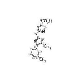 Cc1sc(Cn2cc(C(=O)O)cn2)nc1-c1cccc(C(F)(F)F)c1